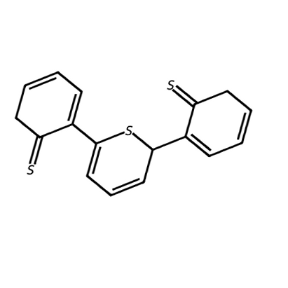 S=C1CC=CC=C1C1=CC=CC(C2=CC=CCC2=S)S1